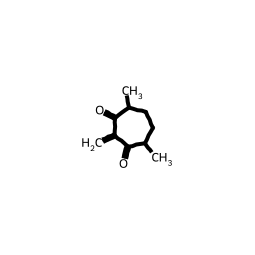 C=C1C(=O)C(C)CCC(C)C1=O